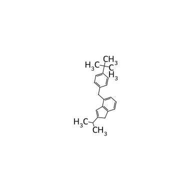 CC(C)C1=Cc2c(cccc2Cc2ccc(C(C)(C)C)cc2)C1